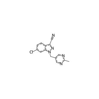 Cc1ncc(Cn2nc(C#N)c3ccc(Cl)cc32)cn1